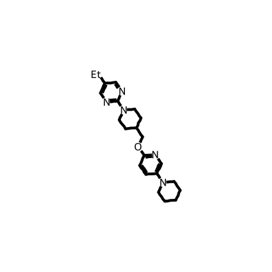 CCc1cnc(N2CCC(COc3ccc(N4CCCCC4)cn3)CC2)nc1